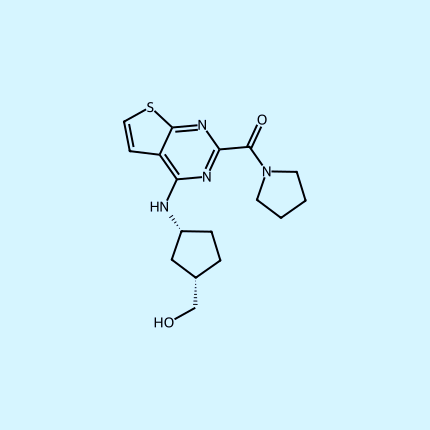 O=C(c1nc(N[C@@H]2CC[C@H](CO)C2)c2ccsc2n1)N1CCCC1